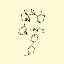 CCN1CCC(c2ccc(NC(=O)c3cnc(C)c(Nc4nccc(-c5cccnc5)n4)c3)cc2)C1